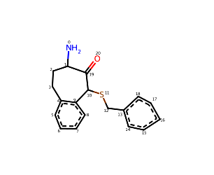 NC1CCc2ccccc2C(SCc2ccccc2)C1=O